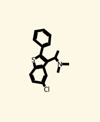 CC(c1c(-c2ccccc2)sc2ccc(Cl)cc12)N(C)C